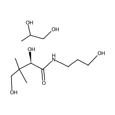 CC(C)(CO)[C@@H](O)C(=O)NCCCO.CC(O)CO